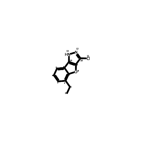 CCc1cccc2c1oc1c(Cl)n[nH]c12